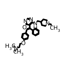 CCN1CCC(CNc2ncnc3oc(-c4ccc(OCCN(C)C)cc4)c(-c4ccccc4)c23)CC1